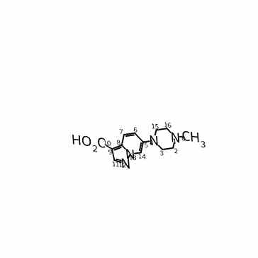 CN1CCN(c2ccc3c(C(=O)O)cnn3c2)CC1